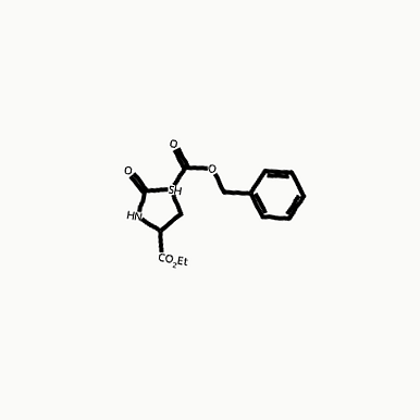 CCOC(=O)C1C[SH](C(=O)OCc2ccccc2)C(=O)N1